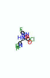 CNC(=O)C(N[C@@H](CCc1ccc(C(F)(F)F)nc1)c1ccc(Cl)c(OC)c1)c1ccc(F)cc1